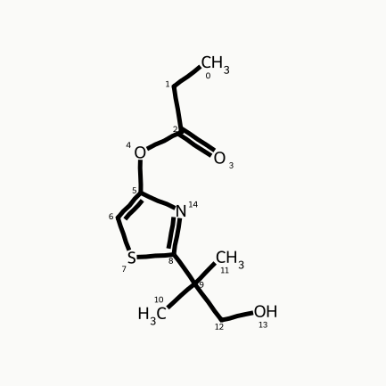 CCC(=O)Oc1csc(C(C)(C)CO)n1